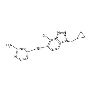 Nc1cc(C#Cc2ccc3c(nnn3CC3CC3)c2Cl)ccn1